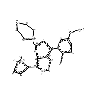 NOc1ccc(F)c(-c2cc(N3CCOCC3)nc3c(-c4ccn[nH]4)nccc23)c1